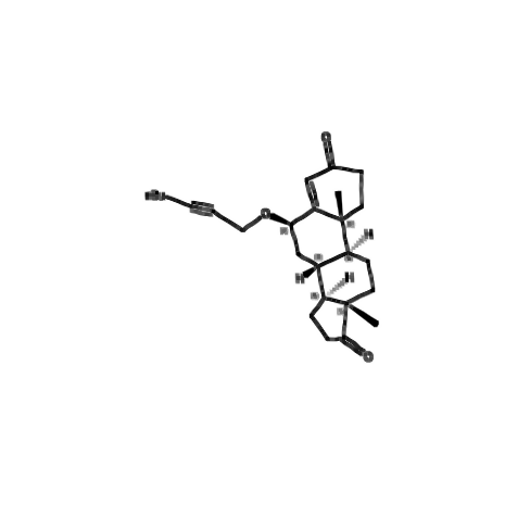 CCCCC#CCO[C@@H]1C[C@@H]2[C@H](CC[C@]3(C)C(=O)CC[C@@H]23)[C@@]2(C)CCC(=O)C=C12